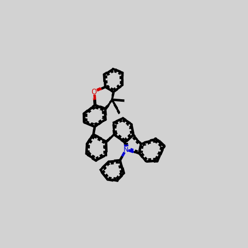 CC1(C)c2ccccc2Oc2ccc(-c3ccccc3-c3cccc4c5ccccc5n(-c5ccccc5)c34)cc21